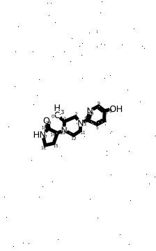 CC1CN(c2ccc(O)cn2)CCN1C1CCNC1=O